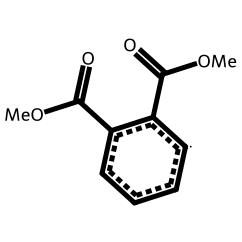 COC(=O)c1[c]cccc1C(=O)OC